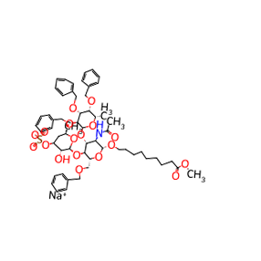 COC(=O)CCCCCCCCO[C@@H]1O[C@H](COCc2ccccc2)[C@@H](O[C@@H]2O[C@H](C)C[C@H](OS(=O)(=O)[O-])[C@H]2O)[C@H](O[C@@H]2O[C@@H](C)[C@@H](OCc3ccccc3)[C@@H](OCc3ccccc3)[C@@H]2OCc2ccccc2)[C@H]1NC(C)=O.[Na+]